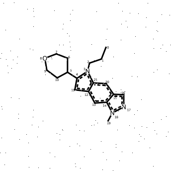 CCCn1c(C2CCOCC2)cc2cc3c(cnn3C)cc21